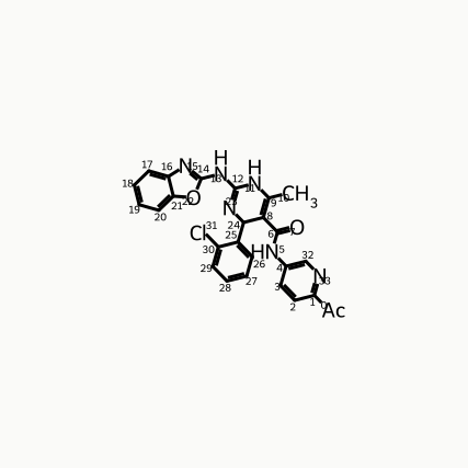 CC(=O)c1ccc(NC(=O)C2=C(C)NC(Nc3nc4ccccc4o3)=NC2c2ccccc2Cl)cn1